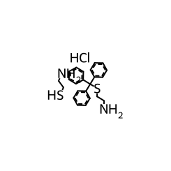 Cl.NCCS.NCCSC(c1ccccc1)(c1ccccc1)c1ccccc1